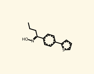 CCCC(=NO)c1ccc(-c2cccs2)cc1